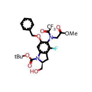 COC(=O)CN(C(=O)C(F)(F)F)c1c(OCc2ccccc2)cc2c(c1F)C[C@@H](CO)N2C(=O)OC(C)(C)C